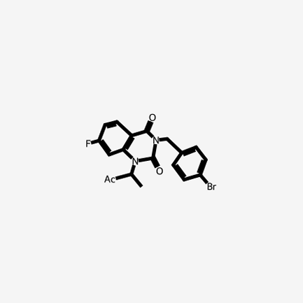 CC(=O)C(C)n1c(=O)n(Cc2ccc(Br)cc2)c(=O)c2ccc(F)cc21